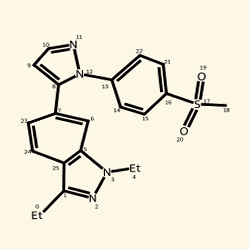 CCc1nn(CC)c2cc(-c3ccnn3-c3ccc(S(C)(=O)=O)cc3)ccc12